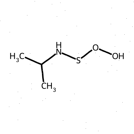 CC(C)NSOO